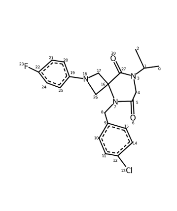 CC(C)N1CC(=O)N(Cc2ccc(Cl)cc2)C2(CN(c3ccc(F)cc3)C2)C1=O